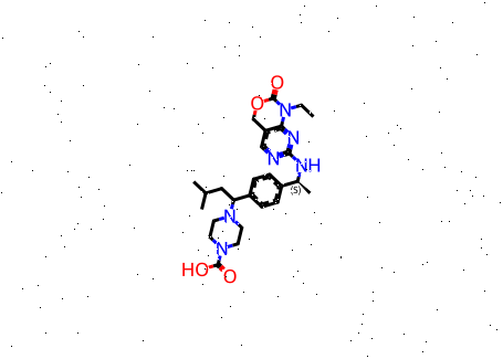 CCN1C(=O)OCc2cnc(N[C@@H](C)c3ccc(C(CC(C)C)N4CCN(C(=O)O)CC4)cc3)nc21